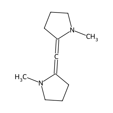 CN1CCCC1=C=C1CCCN1C